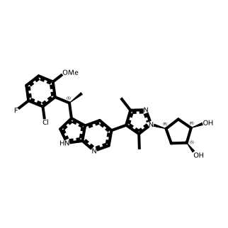 COc1ccc(F)c(Cl)c1[C@@H](C)c1c[nH]c2ncc(-c3c(C)nn([C@H]4C[C@@H](O)[C@@H](O)C4)c3C)cc12